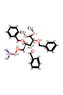 CCSC(SCC)[C@@H](OCc1ccccc1)[C@H](OCc1ccccc1)[C@@H](COSP(I)I)OCc1ccccc1